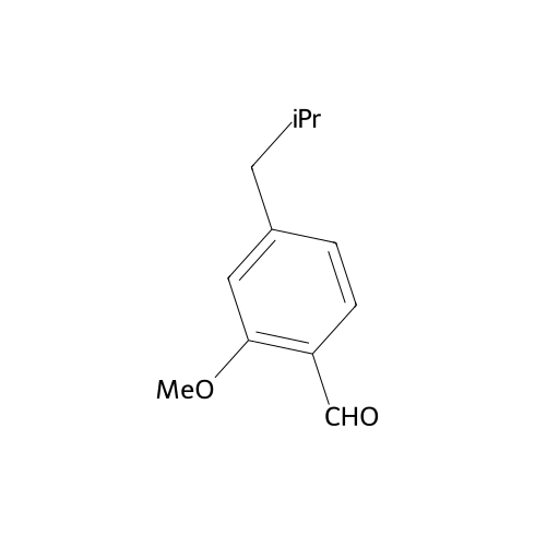 COc1cc(CC(C)C)ccc1C=O